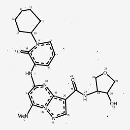 CNc1cc(Nc2cccn(C3CCCCC3)c2=O)nc2c(C(=O)NC3COCC3O)cnn12